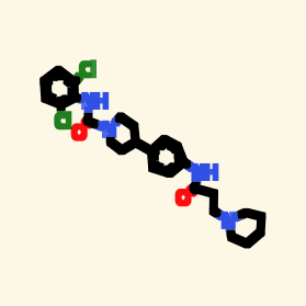 O=C(CCN1CCCCC1)Nc1ccc(C2CCN(C(=O)Nc3c(Cl)cccc3Cl)CC2)cc1